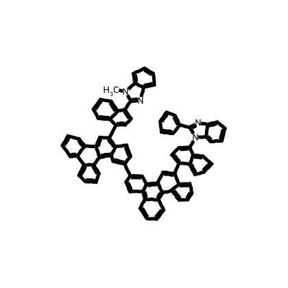 Cn1c(-c2ccc(-c3cc4c5ccccc5c5ccccc5c4c4cc(-c5ccc6c7ccccc7c7c8ccccc8c(-c8ccc(-n9c(-c%10ccccc%10)nc%10ccccc%109)c9ccccc89)cc7c6c5)ccc34)c3ccccc23)nc2ccccc21